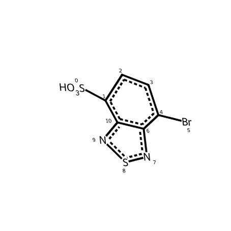 O=S(=O)(O)c1ccc(Br)c2nsnc12